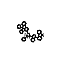 CC1(C)c2ccccc2-c2c(-c3ccc(-c4cc(-c5ccc6c(c5)C(c5ccccc5)(c5ccccc5)c5ccccc5-6)nc(-c5ccccc5)n4)c4ccccc34)cccc21